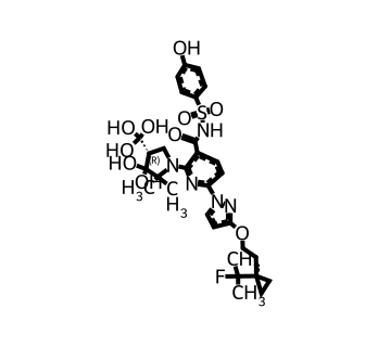 CC(C)(F)C1(CCOc2ccn(-c3ccc(C(=O)NS(=O)(=O)c4ccc(O)cc4)c(N4C[C@@H](C(O)(O)O)C(O)(O)C4(C)C)n3)n2)CC1